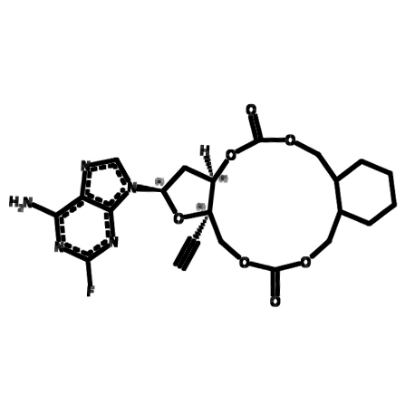 C#C[C@@]12COC(=O)OCC3CCCCC3COC(=O)O[C@@H]1C[C@H](n1cnc3c(N)nc(F)nc31)O2